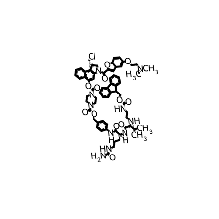 CC(C)[C@H](NCCNC(=O)OCC1c2ccccc2-c2ccccc21)C(=O)N[C@@H](CCCNC(N)=O)C(=O)Nc1ccc(COC(=O)N2CCN(C(=O)Oc3cc4c(c5ccccc35)[C@H](CCl)CN4C(=O)C3=CC4C=C(OCCN(C)C)C=CC4O3)CC2)cc1